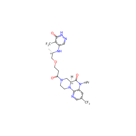 CCCN1C(=O)[C@@H]2CN(C(=O)CCOC[C@H](C)Nc3cn[nH]c(=O)c3C(F)(F)F)CCN2c2ncc(C(F)(F)F)cc21